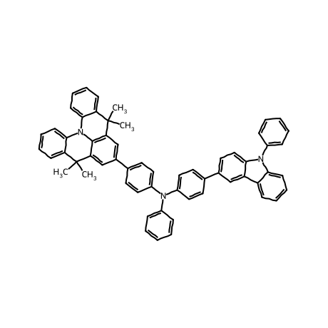 CC1(C)c2ccccc2N2c3ccccc3C(C)(C)c3cc(-c4ccc(N(c5ccccc5)c5ccc(-c6ccc7c(c6)c6ccccc6n7-c6ccccc6)cc5)cc4)cc1c32